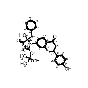 CC(C)(C)OC(=O)N(c1ccc2c(c1)OC(c1ccc(O)cc1)CC2=O)[C@@](O)(Cc1ccccc1)C(=O)O